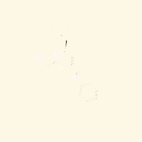 COc1ccc(NC(=O)/C=C/[C@H](CC(C)(C)C)NC(=O)[C@H](C)N)cc1